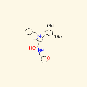 Cc1c(C(O)NCC2CCCOC2)cc(-c2cc(C(C)(C)C)cc(C(C)(C)C)c2)n1CC1CCCCC1